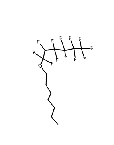 CCCCCCCOC(F)(F)C(F)C(F)(F)C(F)(F)C(F)(F)C(F)(F)F